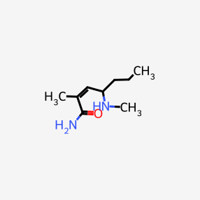 CCCC(C=C(C)C(N)=O)NC